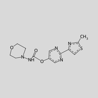 Cc1nc(-c2ncc(OC(=O)NN3CCOCC3)cn2)cs1